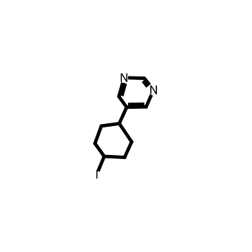 IC1CCC(c2cncnc2)CC1